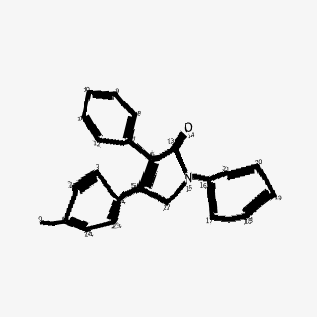 Cc1ccc(C2=C(c3ccccc3)C(=O)N(c3ccccc3)C2)cc1